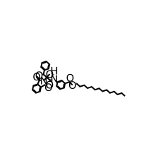 CCCCCCCCCCCCCCOC(=O)c1cccc(NC(=O)C(OC)(C(=O)c2ccccc2)N2C(=O)c3ccccc3C2=O)c1